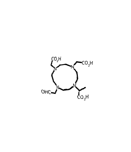 C[C@@H](C(=O)O)N1CCN(CC=O)CCN(CC(=O)O)CCN(CC(=O)O)CC1